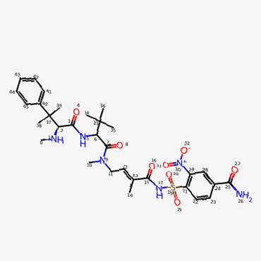 CN[C@H](C(=O)NC(C(=O)N(C)C/C=C(\C)C(=O)NS(=O)(=O)c1ccc(C(N)=O)cc1[N+](=O)[O-])C(C)(C)C)C(C)(C)c1ccccc1